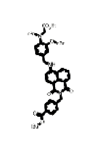 CCCOc1cc(CNc2ccc3c4c(cccc24)C(=O)N(Cc2ccc(C(=O)OC(C)(C)C)cc2)C3=O)ccc1N(CCC)CC(=O)OCC